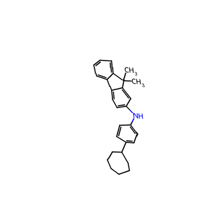 CC1(C)c2ccccc2-c2ccc(Nc3ccc(C4CCCCCC4)cc3)cc21